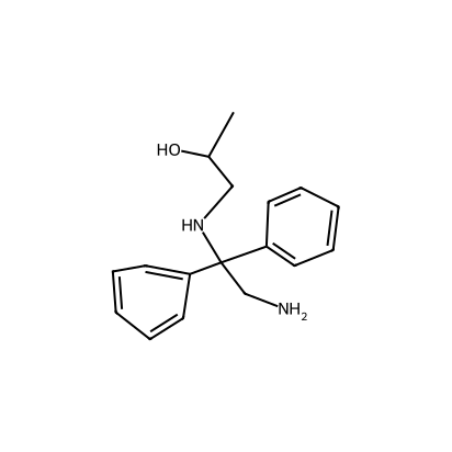 CC(O)CNC(CN)(c1ccccc1)c1ccccc1